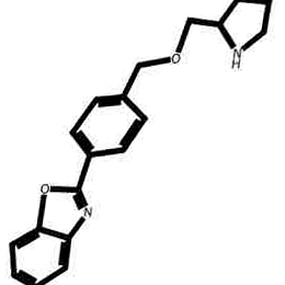 c1ccc2oc(-c3ccc(COCC4CCCN4)cc3)nc2c1